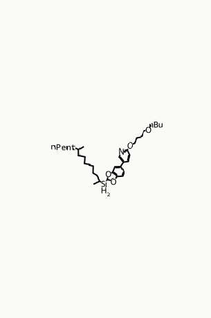 CCCCCC(C)CCCCCCC(C)[SiH2]C1Oc2ccc(-c3ccc(OCCCCOCCCC)nc3)cc2O1